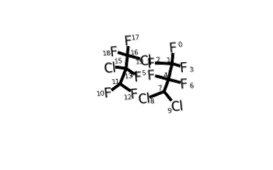 FC(F)(F)C(F)(F)C(Cl)Cl.FC(F)C(F)(Cl)C(F)(F)Cl